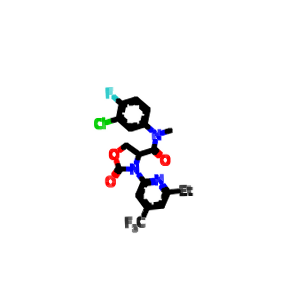 CCc1cc(C(F)(F)F)cc(N2C(=O)OCC2C(=O)N(C)c2ccc(F)c(Cl)c2)n1